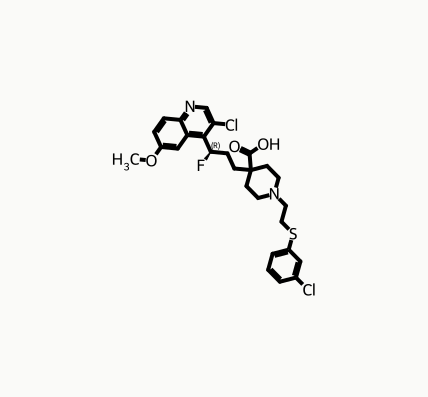 COc1ccc2ncc(Cl)c([C@H](F)CCC3(C(=O)O)CCN(CCSc4cccc(Cl)c4)CC3)c2c1